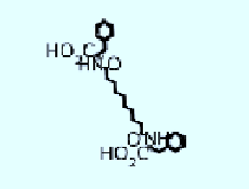 O=C(CCCCCCCCC(=O)N[C@@H](Cc1ccccc1)C(=O)O)N[C@@H](Cc1ccccc1)C(=O)O